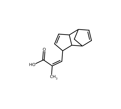 CC(=CC1C=CC2C3C=CC(C3)C12)C(=O)O